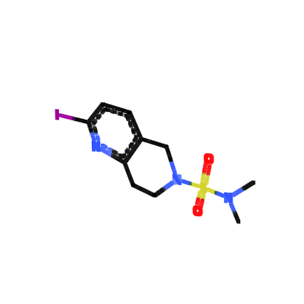 CN(C)S(=O)(=O)N1CCc2nc(I)ccc2C1